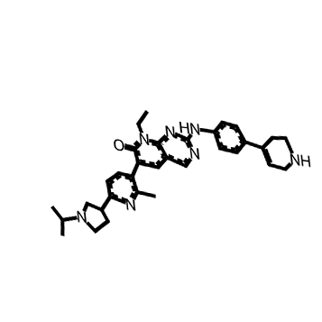 CCn1c(=O)c(-c2ccc(C3CCN(C(C)C)C3)nc2C)cc2cnc(Nc3ccc(C4=CCNCC4)cc3)nc21